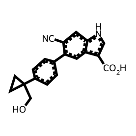 N#Cc1cc2[nH]cc(C(=O)O)c2cc1-c1ccc(C2(CO)CC2)cc1